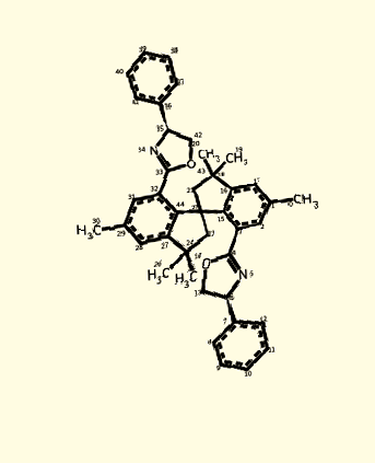 Cc1cc(C2=N[C@@H](c3ccccc3)CO2)c2c(c1)C(C)(C)CC21CC(C)(C)c2cc(C)cc(C3=N[C@@H](c4ccccc4)CO3)c21